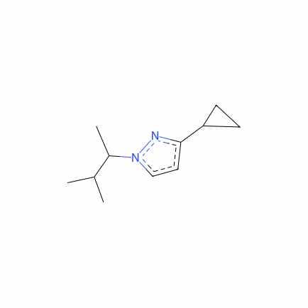 CC(C)C(C)n1ccc(C2CC2)n1